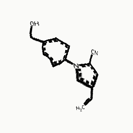 C=Cc1cc(C#N)n(-c2ccc(CO)cc2)c1